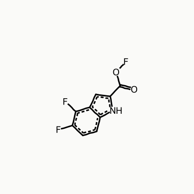 O=C(OF)c1cc2c(F)c(F)ccc2[nH]1